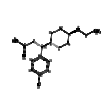 CCO[C@H]1CC[C@H]([C@@H](CC(=O)O)c2ccc(Cl)cc2)CC1